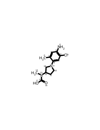 Cc1cc(N)c(Cl)cc1N1CCC(N(C)C(=O)O)C1